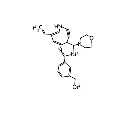 C=CC1=C\NC#CC2/C(=C\1)N=C(c1cccc(CO)c1)NC2N1CCOCC1